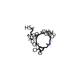 COc1cc2cc(c1Cl)N(C)C(=O)CC(OC(=O)[C@H](C)N(C)C(=O)CC[C@H](C)S)C1(C)OC1C(C)C(O)CC1(N)OCOC1/C=C/C=C(\C)C2